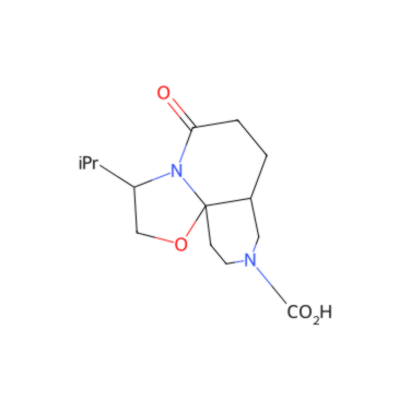 CC(C)C1COC23CCN(C(=O)O)CC2CCC(=O)N13